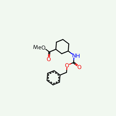 COC(=O)C1CCCC(NC(=O)OCc2ccccc2)C1